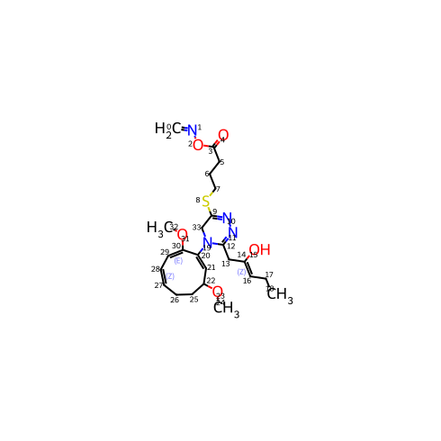 C=NOC(=O)CCCSC1=NN=C(C/C(O)=C/CC)N(C2=CC(OC)CC/C=C\C=C/2OC)C1